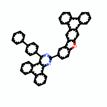 c1ccc(-c2ccc(-c3nc(-c4ccc5oc6cc7c8ccccc8c8ccccc8c7cc6c5c4)nc4c5ccccc5c5ccccc5c34)cc2)cc1